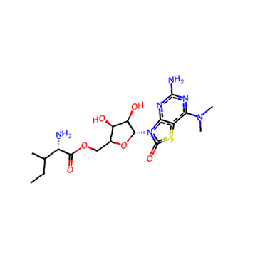 CCC(C)[C@H](N)C(=O)OCC1O[C@@H](n2c(=O)sc3c(N(C)C)nc(N)nc32)[C@H](O)[C@@H]1O